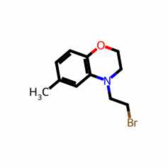 Cc1ccc2c(c1)N(CCBr)CCO2